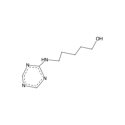 OCCCCCNc1ncncn1